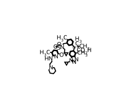 Cc1ccc([C@@H](c2ccc3c(nnn3C3CC3)c2C)C(C)(C)C(=O)O)cc1CN1CC2(CC2)Oc2nc(NCCN3CCCCC3)c(C)cc2S1(=O)=O